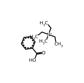 CC[N+](C)(CC)CC.O=C(O)c1ccccc1